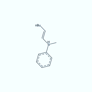 CCCCC=C[SiH](C)c1ccccc1